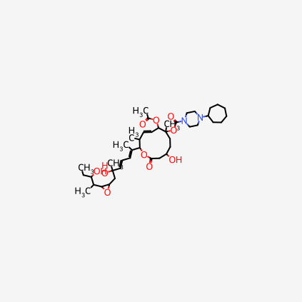 CCC(O)C(C)C1OC1CC(C)(O)/C=C/C=C(\C)C1OC(=O)CC(O)CCC(C)(OC(=O)N2CCN(C3CCCCCC3)CC2)C(OC(C)=O)/C=C/C1C